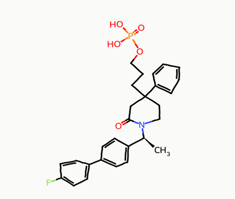 C[C@@H](c1ccc(-c2ccc(F)cc2)cc1)N1CCC(CCCOP(=O)(O)O)(c2ccccc2)CC1=O